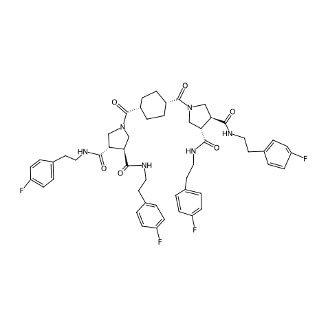 O=C(NCCc1ccc(F)cc1)[C@@H]1CN(C(=O)[C@H]2CC[C@@H](C(=O)N3C[C@@H](C(=O)NCCc4ccc(F)cc4)[C@H](C(=O)NCCc4ccc(F)cc4)C3)CC2)C[C@H]1C(=O)NCCc1ccc(F)cc1